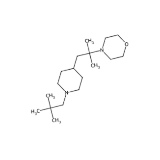 CC(C)(C)CN1CCC(CC(C)(C)N2CCOCC2)CC1